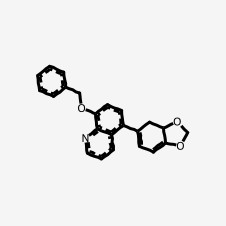 C1=C(c2ccc(OCc3ccccc3)c3ncccc23)CC2OCOC2=C1